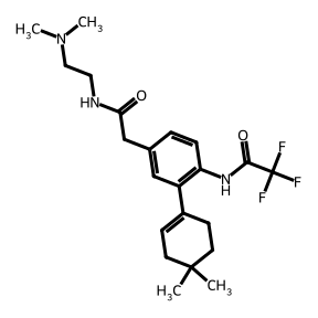 CN(C)CCNC(=O)Cc1ccc(NC(=O)C(F)(F)F)c(C2=CCC(C)(C)CC2)c1